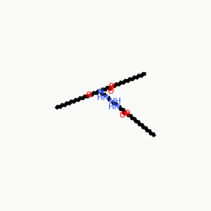 CCCCCCCCCCCCCCCOCCCCN(CCCC(=O)OCCCCCCCCCCCCCCC)CCNCCNCCNCCCC(=O)OCCCCCCCCCCCCCCC